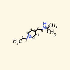 CCCN1CCC(CCNC(C)C)CC1